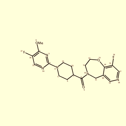 COc1nc(N2CCC(C(=O)N3CCOc4c(F)cncc4C3)CC2)ncc1F